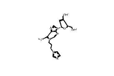 NC1c2ncn([C@H]3CC(O)[C@@H](CO)O3)c2N=CN1CCCn1ccnc1